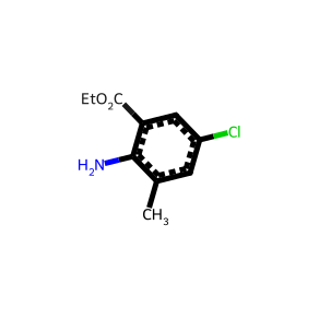 CCOC(=O)c1cc(Cl)cc(C)c1N